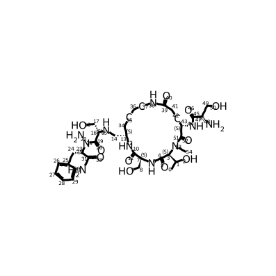 CC(O)[C@H]1C(=O)N[C@@H](CO)C(=O)N[C@H](CN[C@@H](CO)C(=O)N(N)[C@@H](Cc2ccccc2)C(N)=O)CCCCNC(=O)CC[C@H](NC(=O)[C@@H](N)CO)C(=O)N1C